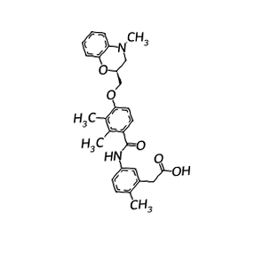 Cc1ccc(NC(=O)c2ccc(OC[C@@H]3CN(C)c4ccccc4O3)c(C)c2C)cc1CC(=O)O